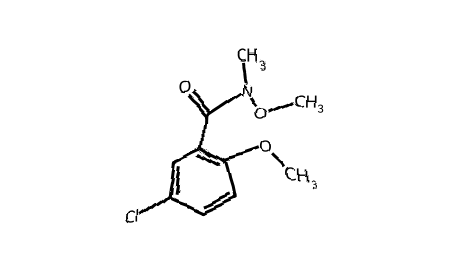 COc1ccc(Cl)cc1C(=O)N(C)OC